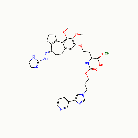 COc1c(OCCC(NC(=O)OCCCn2cnc(-c3cccnc3)c2)C(=O)O)cc2c(c1OC)C1=C(CCC1)C(=NNC1=NCCN1)CC2.Cl